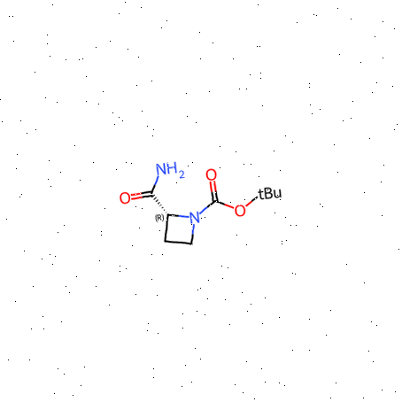 CC(C)(C)OC(=O)N1CC[C@@H]1C(N)=O